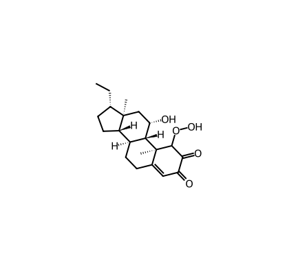 CC[C@H]1CC[C@H]2[C@@H]3CCC4=CC(=O)C(=O)C(OO)[C@]4(C)[C@H]3[C@@H](O)C[C@]12C